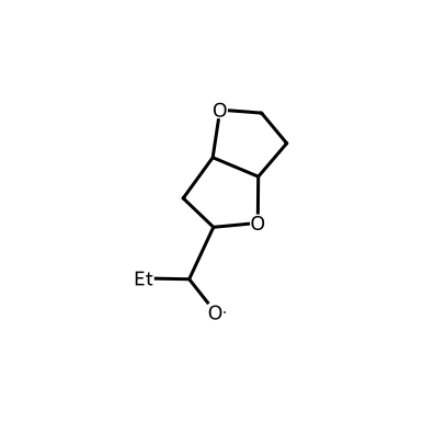 CCC([O])C1CC2OCCC2O1